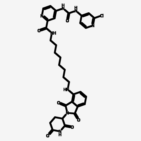 O=C1CCC(N2C(=O)c3cccc(NCCCCCCCCNC(=O)c4cc(NC(=O)Nc5ccnc(Cl)c5)ccn4)c3C2=O)C(=O)N1